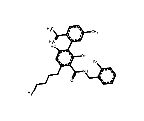 C=C(C)c1ccc(C)cc1-c1c(O)cc(CCCCC)c(C(=O)NCc2ccccc2Br)c1O